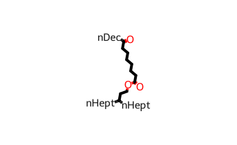 CCCCCCCCCCC(=O)CCCCCCC(=O)OCCC(CCCCCCC)CCCCCCC